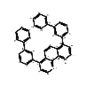 c1ccc(-c2cccc(-c3ccnc4c3ccc3c(-c5cccc(-c6ccccc6)c5)ccnc34)c2)cc1